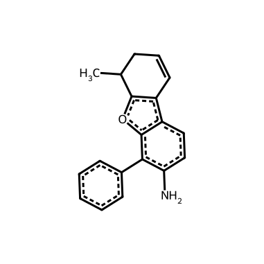 CC1CC=Cc2c1oc1c(-c3ccccc3)c(N)ccc21